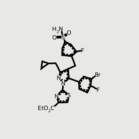 CCOC(=O)c1csc(-n2nc(CC3CC3)c(Cc3ccc(S(N)(=O)=O)cc3F)c2-c2ccc(F)c(Br)c2)n1